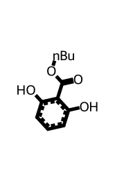 CCCCOC(=O)c1c(O)cccc1O